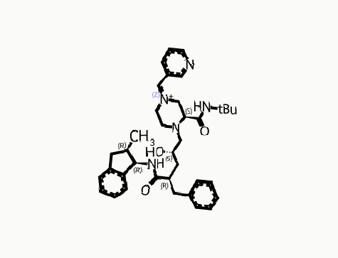 C[C@@H]1Cc2ccccc2[C@@H]1NC(=O)[C@H](Cc1ccccc1)C[C@H](O)CN1CC/[N+](=C/c2cccnc2)C[C@H]1C(=O)NC(C)(C)C